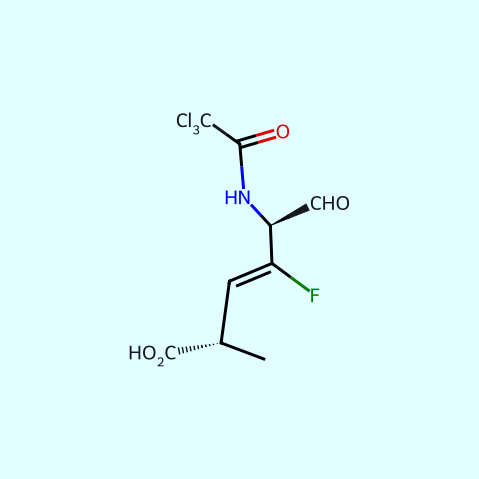 C[C@@H](/C=C(\F)[C@H](C=O)NC(=O)C(Cl)(Cl)Cl)C(=O)O